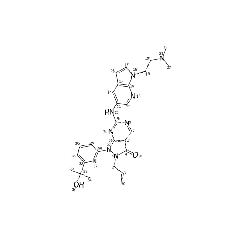 C=CCn1c(=O)c2cnc(Nc3cnc4c(ccn4CCN(C)C)c3)nc2n1-c1cccc(C(C)(C)O)n1